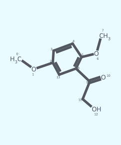 COc1ccc(OC)c(C(=O)CO)c1